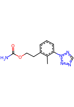 Cc1c(CCOC(N)=O)cccc1-n1ncnn1